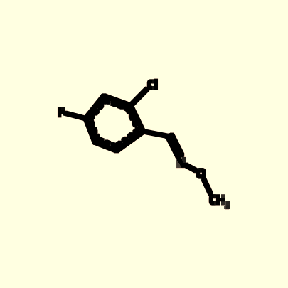 CON=Cc1ccc(F)cc1Cl